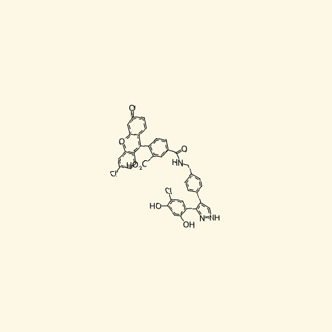 O=C(NCc1ccc(-c2c[nH]nc2-c2cc(Cl)c(O)cc2O)cc1)c1ccc(-c2c3ccc(=O)cc-3oc3cc(Cl)ccc23)c(C(=O)O)c1